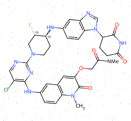 CNC(=O)COc1cc2cc(Nc3nc(N4CC[C@H](Nc5ccc6c(c5)ncn6C5CCC(=O)NC5=O)[C@@H](F)C4)ncc3Cl)ccc2n(C)c1=O